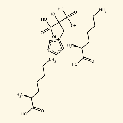 NCCCC[C@H](N)C(=O)O.NCCCC[C@H](N)C(=O)O.O=P(O)(O)C(O)(Cn1ccnc1)P(=O)(O)O